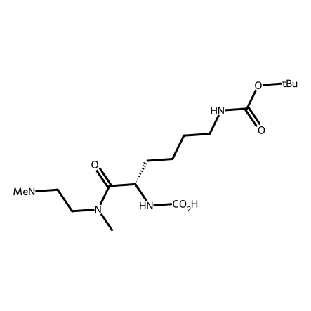 CNCCN(C)C(=O)[C@H](CCCCNC(=O)OC(C)(C)C)NC(=O)O